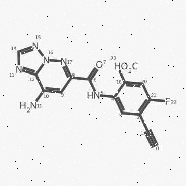 C#Cc1cc(NC(=O)c2cc(N)c3ncnn3n2)c(C(=O)O)cc1F